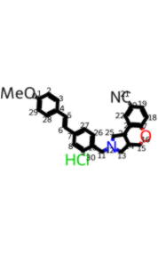 COc1ccc(C=Cc2ccc(CN3CC4COc5ccc(C#N)cc5C4C3)cc2)cc1.Cl